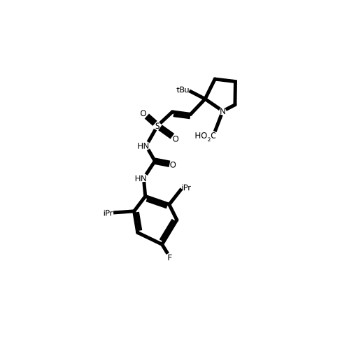 CC(C)c1cc(F)cc(C(C)C)c1NC(=O)NS(=O)(=O)C=CC1(C(C)(C)C)CCCN1C(=O)O